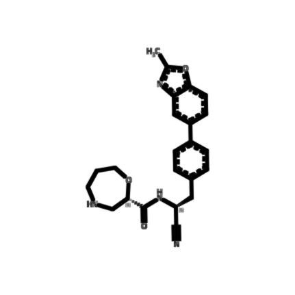 Cc1nc2cc(-c3ccc(C[C@@H](C#N)NC(=O)[C@@H]4CNCCCO4)cc3)ccc2o1